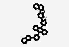 c1cc(-c2ccc3ccccc3c2)cc(-c2c3ccccc3c(-c3ccc4oc5c(ccc6c5sc5ccc7ccccc7c56)c4c3)c3ccccc23)c1